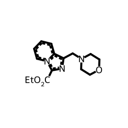 CCOC(=O)c1nc(CN2CCOCC2)c2ccccn12